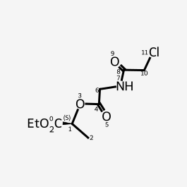 CCOC(=O)[C@H](C)OC(=O)CNC(=O)CCl